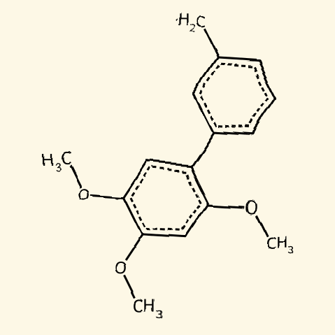 [CH2]c1cccc(-c2cc(OC)c(OC)cc2OC)c1